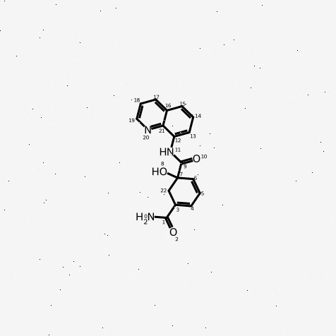 NC(=O)C1=CC=CC(O)(C(=O)Nc2cccc3cccnc23)C1